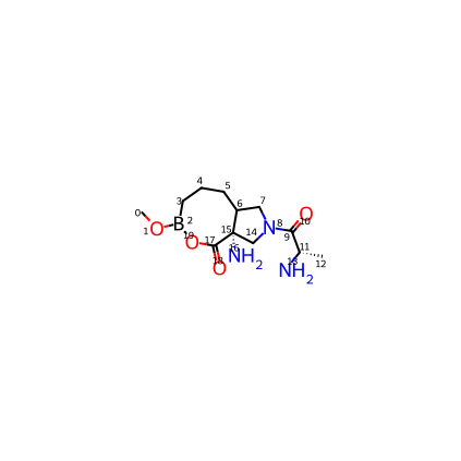 COB1CCCC2CN(C(=O)[C@H](C)N)C[C@@]2(N)C(=O)O1